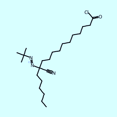 CCCCCCC(C#N)(CCCCCCCCCCC(=O)Cl)/N=N/C(C)(C)C